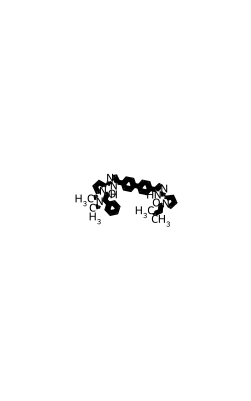 CCN(CC)[C@@H](C(=O)N1CCC[C@H]1c1ncc(-c2ccc(-c3ccc(-c4cnc([C@@H]5CCCN5C(=O)CC(C)C)[nH]4)cc3)cc2)[nH]1)c1ccccc1